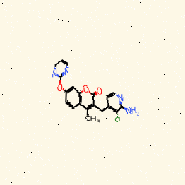 Cc1c(Cc2ccnc(N)c2Cl)c(=O)oc2cc(Oc3ncccn3)ccc12